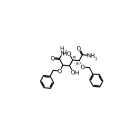 NC(=O)C(OCc1ccccc1)C(O)[C@@H](O)[C@@H](OCc1ccccc1)C(N)=O